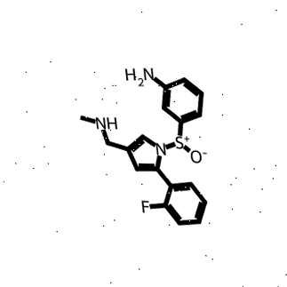 CNCc1cc(-c2ccccc2F)n([S+]([O-])c2cccc(N)c2)c1